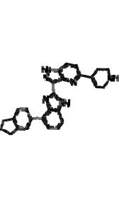 C1=C(c2ccc3[nH]nc(-c4nc5c(-c6ccc7c(c6)CCC7)cccc5[nH]4)c3n2)CCNC1